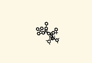 CC1=CC(c2cc(-c3cc(C)cc(C)c3)nc(-n3c4ccc(N(c5ccc(-c6ccccc6)cc5)c5ccc6c(c5)C(c5ccccc5)(c5ccccc5)c5ccccc5-6)cc4c4cc5c(cc43)C(C)(C)c3ccccc3-5)n2)CC(C)=C1